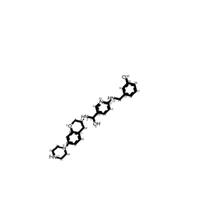 OC(N[C@H]1COc2cc(N3CCNCC3)ccc2C1)c1ccc(NCc2cccc(Cl)c2)nc1